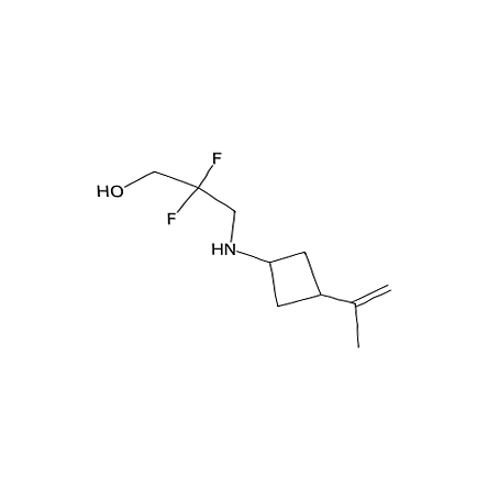 C=C(C)C1CC(NCC(F)(F)CO)C1